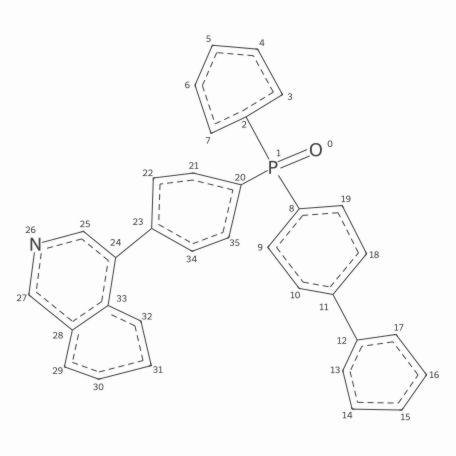 O=P(c1ccccc1)(c1ccc(-c2ccccc2)cc1)c1ccc(-c2cncc3ccccc23)cc1